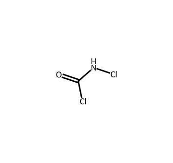 O=C(Cl)NCl